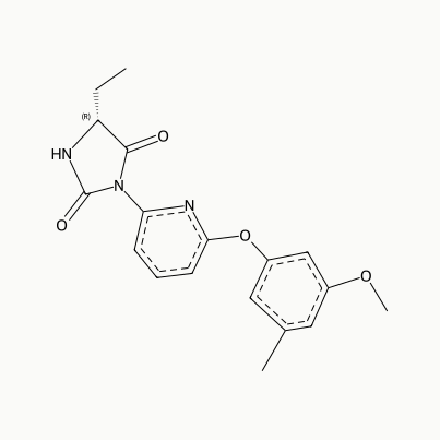 CC[C@H]1NC(=O)N(c2cccc(Oc3cc(C)cc(OC)c3)n2)C1=O